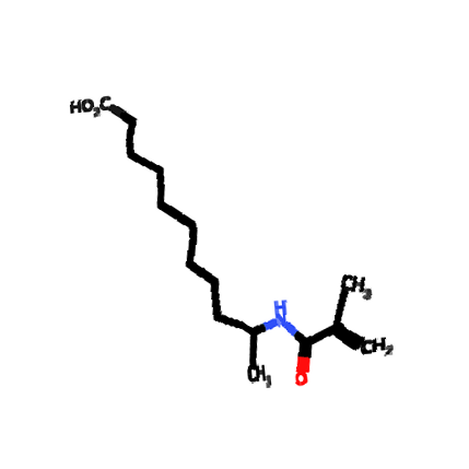 C=C(C)C(=O)NC(C)CCCCCCCCC(=O)O